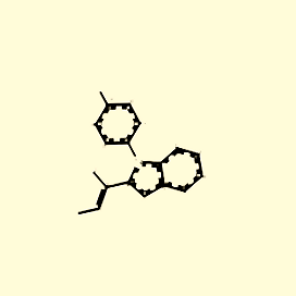 CC=C(C)c1cc2ccccc2n1-c1ccc(O)cc1